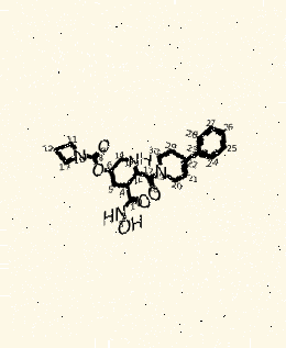 O=C(NO)C1CC(OC(=O)N2CCC2)CNC1C(=O)N1CC=C(c2ccccc2)CC1